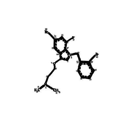 CN(C)CCOc1cn(Cc2ccccc2Br)c2c(Br)cc(Br)cc12